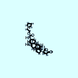 C[C@]12CC[C@H](NC(=O)OCCN3CCCC3)C[C@@]1(O)CC[C@@H]1[C@@H]2CC[C@]2(C)[C@@H](c3ccc(=O)oc3)CC[C@]12O